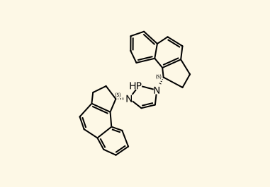 C1=CN([C@H]2CCc3ccc4ccccc4c32)PN1[C@H]1CCc2ccc3ccccc3c21